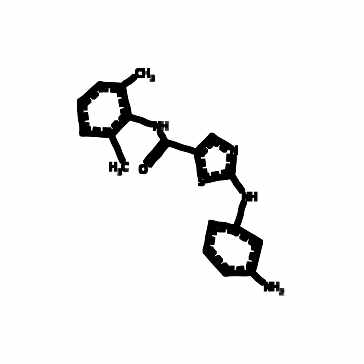 Cc1cccc(C)c1NC(=O)c1cnc(Nc2cccc(N)c2)s1